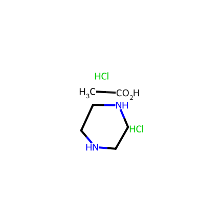 C1CNCCN1.CC(=O)O.Cl.Cl